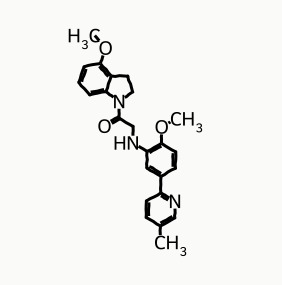 COc1ccc(-c2ccc(C)cn2)cc1NCC(=O)N1CCc2c(OC)cccc21